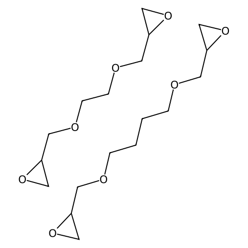 C(CCOCC1CO1)COCC1CO1.C(COCC1CO1)OCC1CO1